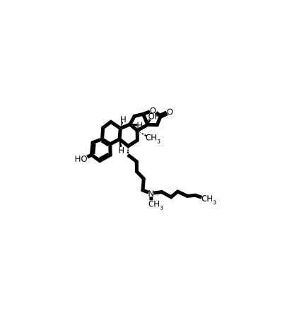 CCCCCCN(C)CCCCC[C@H]1C[C@@]2(C)[C@@H](CC3OC(=O)C[C@@]32O)[C@@H]2CCc3cc(O)ccc3[C@@H]12